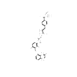 CCNC(=O)c1ccc(/C=C/C(=O)NCC(=O)N(C)c2ccc(C)c(COc3cccc4ncc(C)nc34)c2C)cc1